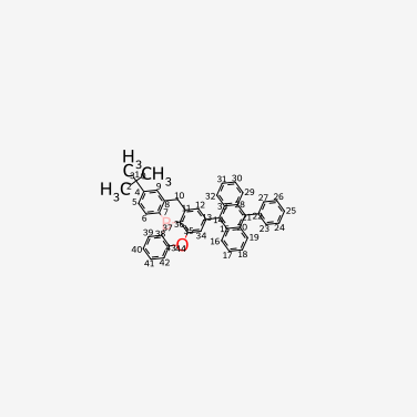 CC(C)(C)c1ccc2c(c1)Cc1cc(-c3c4ccccc4c(-c4ccccc4)c4ccccc34)cc3c1B2c1ccccc1O3